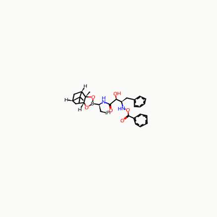 CC(C)C[C@H](NC(=O)[C@@H](O)[C@@H](Cc1ccccc1)NOC(=O)c1ccccc1)B1O[C@@H]2C[C@@H]3C[C@@H](C3(C)C)[C@]2(C)O1